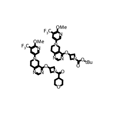 COc1ncc(N2CCc3ncnc(OC4CN(C(=O)C5CCOCC5)C4)c3C2)cc1C(F)(F)F.COc1ncc(N2CCc3ncnc(OC4CN(C(=O)OC(C)(C)C)C4)c3C2)cc1C(F)(F)F